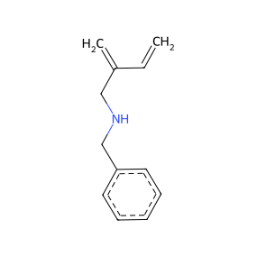 C=CC(=C)CNCc1ccccc1